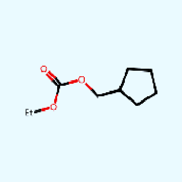 CCOC(=O)O[CH]C1CCCC1